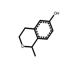 CC1OCCc2cc(O)ccc21